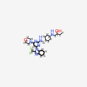 CCC(O)CN[C@H]1CC[C@H](CNc2nc(N3CCOCC3)cc(-n3c(C(F)F)nc4ccccc43)n2)CC1